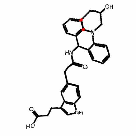 O=C(O)CCc1c[nH]c2ccc(CC(=O)NC(c3ccccc3)c3ccccc3N3CCCC(O)C3)cc12